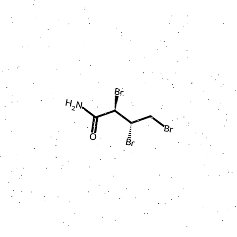 NC(=O)[C@@H](Br)[C@@H](Br)CBr